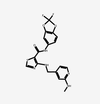 CNc1cc(CNc2ncsc2C(=O)Nc2ccc3c(c2)OC(F)(F)O3)ccn1